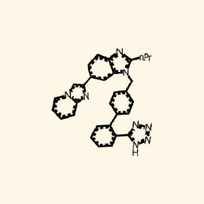 CCCc1nc2ccc(-c3cn4ccccc4n3)cc2n1Cc1ccc(-c2ccccc2-c2nnn[nH]2)cc1